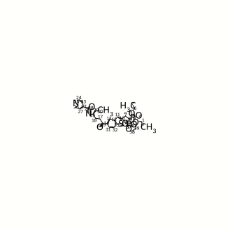 CCOP(=O)(OCC)C(Cc1cc2cc(C(=O)CCc3nc(-c4ccncc4)oc3C)ccc2s1)P1(=O)OCCO1